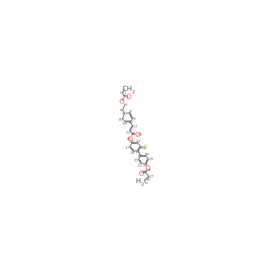 C=CC(=O)OCCC1C=CC(/C=C/C(=O)Oc2ccc(-c3ccc(OC(=O)C=C)cc3)c(F)c2)=CC1